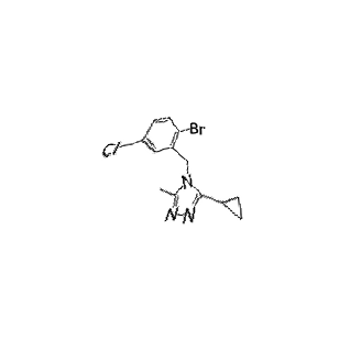 Cc1nnc(C2CC2)n1Cc1cc(Cl)ccc1Br